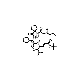 CCCNCC(=O)NC1(C(=O)N(C)[C@H](C(=O)N(C)[C@@H](C=CC(=O)OC(C)(C)C)C(=O)N(C)C)C2CCCC2)CCCC1